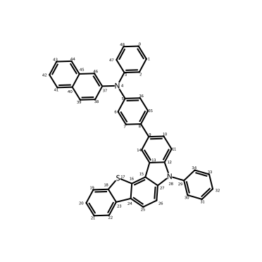 c1ccc(N(c2ccc(-c3ccc4c(c3)c3c5sc6ccccc6c5ccc3n4-c3ccccc3)cc2)c2ccc3ccccc3c2)cc1